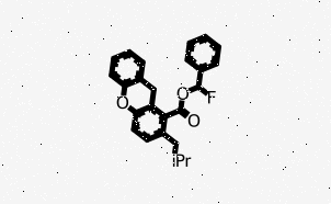 CC(C)Cc1ccc2c(c1C(=O)OC(F)c1ccccc1)Cc1ccccc1O2